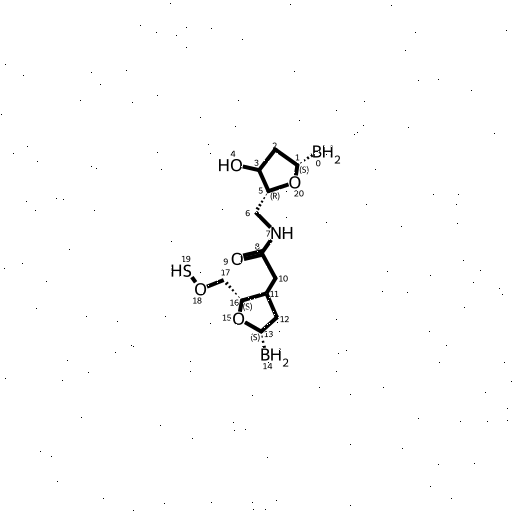 B[C@H]1CC(O)[C@@H](CNC(=O)CC2C[C@H](B)O[C@@H]2COS)O1